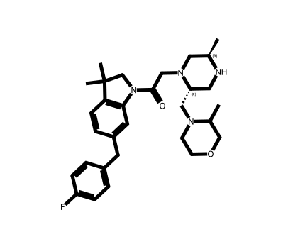 CC1COCCN1C[C@H]1CN[C@H](C)CN1CC(=O)N1CC(C)(C)c2ccc(Cc3ccc(F)cc3)cc21